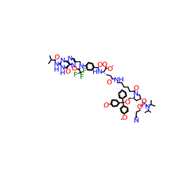 COC(=O)[C@H](CCC(=O)NCCCCCC(=O)N1C[C@H](OP(OCCC#N)N(C(C)C)C(C)C)C[C@H]1COC(c1ccccc1)(c1ccc(OC)cc1)c1ccc(OC)cc1)NC(=O)c1ccc(N(Cc2cnc3nc(NC(=O)C(C)C)[nH]c(=O)c3n2)C(=O)C(F)(F)F)cc1